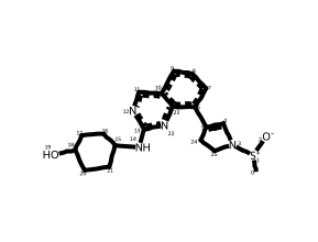 C[S+]([O-])N1C=C(c2cccc3cnc(NC4CCC(O)CC4)nc23)CC1